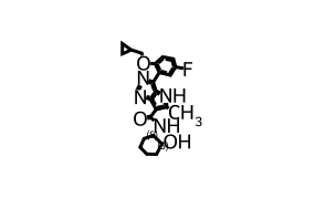 Cc1[nH]c2c(-c3cc(F)ccc3OCC3CC3)ncnc2c1C(=O)N[C@H]1CCCC[C@@H]1O